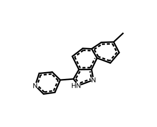 Cc1ccc2c(ccc3c(-c4ccncc4)[nH]nc32)c1